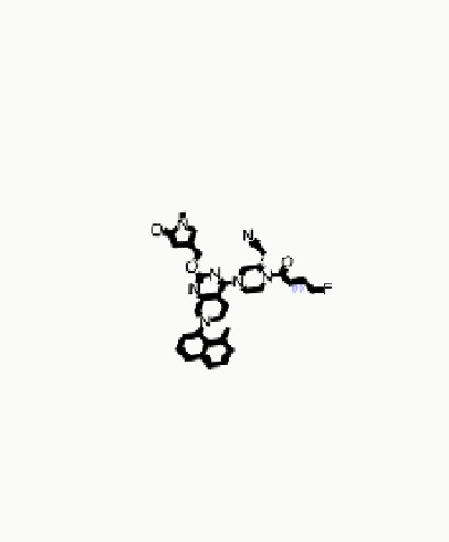 Cc1cccc2cccc(N3CCc4c(nc(OCC5CC(=O)N(C)C5)nc4N4CCN(C(=O)/C=C/CF)[C@@H](CC#N)C4)C3)c12